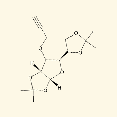 C#CCOC1[C@@H](C2COC(C)(C)O2)O[C@@H]2OC(C)(C)O[C@H]12